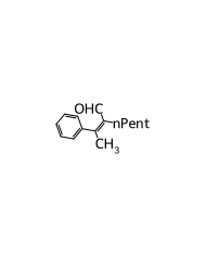 CCCCCC(C=O)=C(C)c1ccccc1